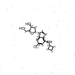 OCC1O[C@@H](n2cnc3c(NC4CCC4)cc(Cl)nc32)C[C@@H]1O